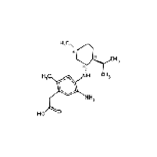 Cc1cc(N[C@@H]2C[C@H](C)CC[C@H]2C(C)C)c(N)cc1CC(=O)O